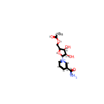 CCCCC(=O)OCC1O[C@@H]([n+]2cccc(C(N)=O)c2)[C@H](O)[C@@H]1O